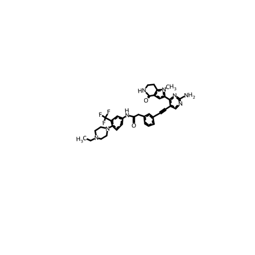 CCN1CCN(c2ccc(NC(=O)Cc3cccc(C#Cc4cnc(N)nc4-c4cc5c(n4C)CCNC5=O)c3)cc2C(F)(F)F)CC1